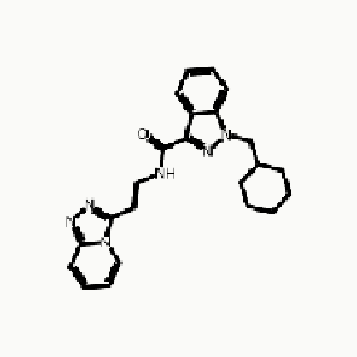 O=C(NCCc1nnc2ccccn12)c1nn(CC2CCCCC2)c2ccccc12